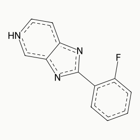 Fc1ccccc1-c1nc2cc[nH]cc-2n1